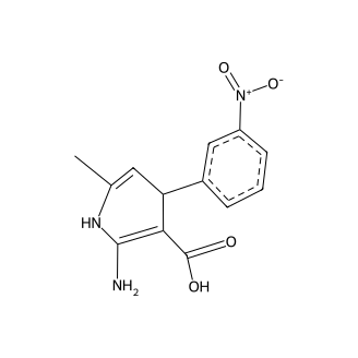 CC1=CC(c2cccc([N+](=O)[O-])c2)C(C(=O)O)=C(N)N1